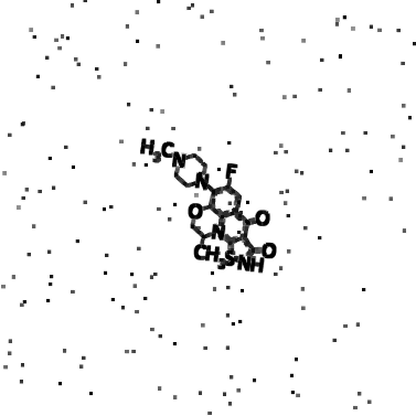 CC1COc2c(N3CCN(C)CC3)c(F)cc3c(=O)c4c(=O)[nH]sc4n1c23